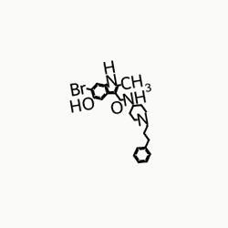 Cc1[nH]c2cc(Br)c(O)cc2c1C(=O)NC1CCN(CCCc2ccccc2)CC1